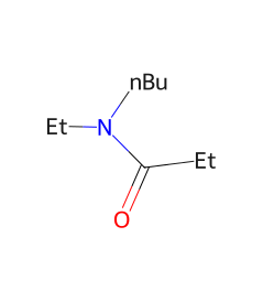 [CH2]CC(=O)N(CC)CCCC